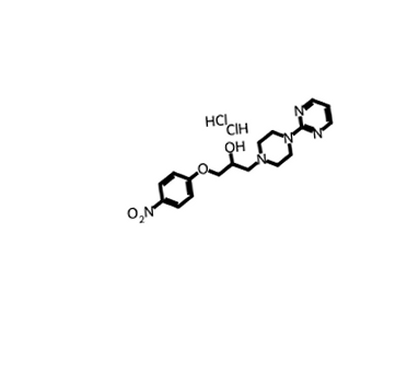 Cl.Cl.O=[N+]([O-])c1ccc(OCC(O)CN2CCN(c3ncccn3)CC2)cc1